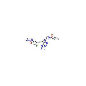 C=CC(=O)N1CCC(n2cc(C#Cc3cc4nc(N5CCC5)oc4cc3F)c3c(N)ncnc32)C1